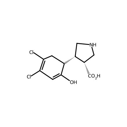 O=C(O)[C@H]1CNC[C@H]1C1CC(Cl)=C(Cl)C=C1O